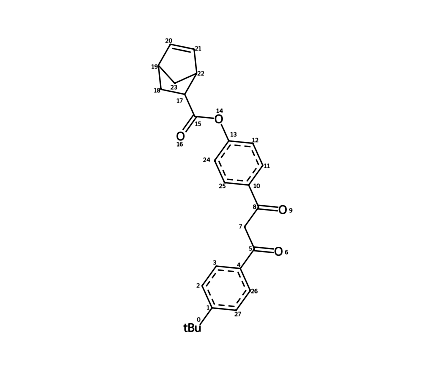 CC(C)(C)c1ccc(C(=O)CC(=O)c2ccc(OC(=O)C3CC4C=CC3C4)cc2)cc1